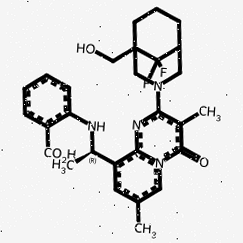 Cc1cc([C@@H](C)Nc2ccccc2C(=O)O)c2nc(N3CC4CCCC(CO)(C3)C4(F)F)c(C)c(=O)n2c1